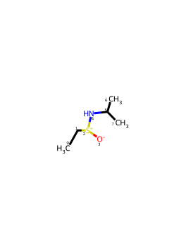 CC[S+]([O-])NC(C)C